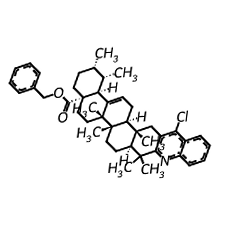 C[C@@H]1[C@H]2C3=CC[C@H]4[C@]5(C)Cc6c(nc7ccccc7c6Cl)C(C)(C)[C@H]5CC[C@]4(C)[C@]3(C)CC[C@@]2(C(=O)OCc2ccccc2)CC[C@@H]1C